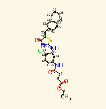 CCOC(=O)CCC(=O)Nc1ccc(Cl)c(NC2=NC(=O)/C(=C/c3ccc4ncccc4c3)S2)c1